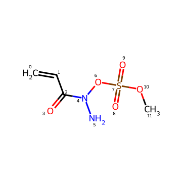 C=CC(=O)N(N)OS(=O)(=O)OC